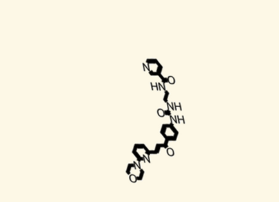 O=C(NCCNC(=O)c1cccnc1)Nc1ccc(C(=O)C=Cc2cccc(N3CCOCC3)n2)cc1